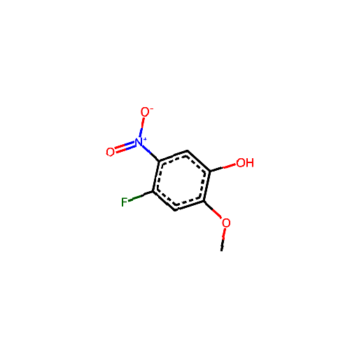 COc1cc(F)c([N+](=O)[O-])cc1O